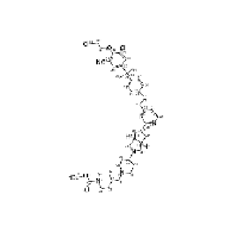 CC(C)(C)OC(=O)N1CCC(CN2CCC(N3C[C@H]4CN(c5nccc(COc6ccc(C(C)(C)c7cc(Cl)c(OCCCl)c(C#N)c7)cc6)n5)C[C@H]4C3)CC2)CC1